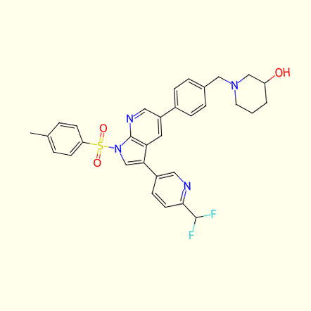 Cc1ccc(S(=O)(=O)n2cc(-c3ccc(C(F)F)nc3)c3cc(-c4ccc(CN5CCCC(O)C5)cc4)cnc32)cc1